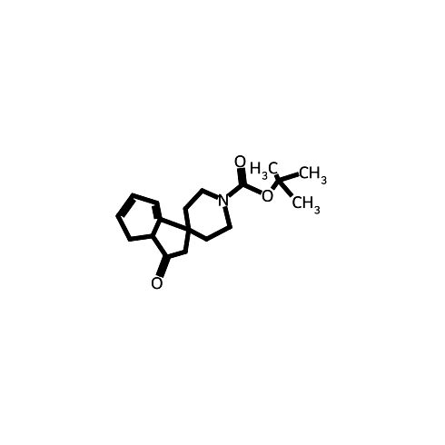 CC(C)(C)OC(=O)N1CCC2(CC1)CC(=O)C1CC=CC=C12